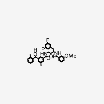 COc1cccc(CNC(Cc2cc(F)cc(F)c2)C(O)CNC(=O)c2cc(C)cc(C(O)c3ccccc3C)c2)c1